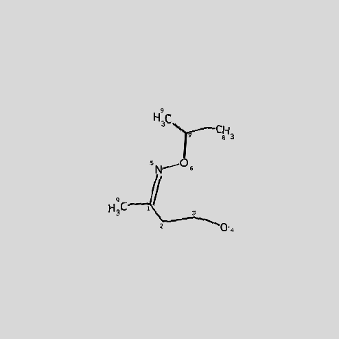 CC(CC[O])=NOC(C)C